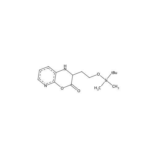 CC(C)(C)[Si](C)(C)OCCC1Nc2cccnc2OC1=O